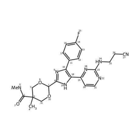 CNC(=O)C1(C)COC(c2nc(-c3ccc(F)cc3)c(-c3ccnc(NCCC#N)n3)[nH]2)OC1